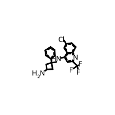 NC1CC(CNc2cc(C(F)(F)F)nc3ccc(Cl)cc23)(c2ccccc2)C1